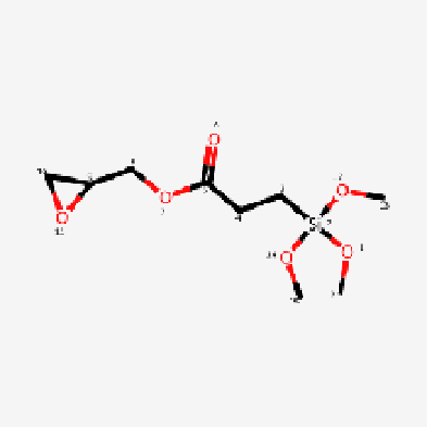 CO[Si](CCC(=O)OCC1CO1)(OC)OC